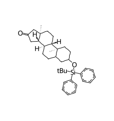 CC(C)(C)[Si](OC1CC[C@@]2(C)C(CC[C@H]3[C@@H]4CC(=O)C[C@@]4(C)CC[C@@H]32)C1)(c1ccccc1)c1ccccc1